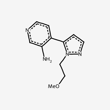 COCCn1nccc1-c1ccncc1N